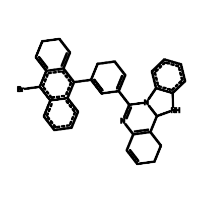 Brc1c2c(c(C3=CC(C4=NC5=C(CCC=C5)C5Nc6ccccc6N45)=CCC3)c3ccccc13)=CCCC=2